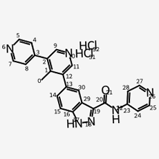 Cc1c(-c2ccncc2)cncc1-c1ccc2[nH]nc(C(=O)Nc3ccncc3)c2c1.Cl.Cl